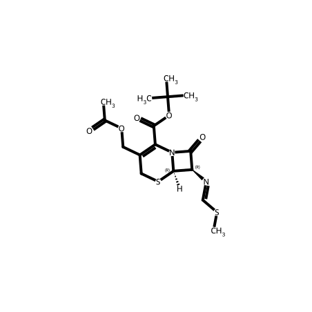 CSC=N[C@@H]1C(=O)N2C(C(=O)OC(C)(C)C)=C(COC(C)=O)CS[C@H]12